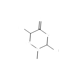 CN1NC(O)C(=O)NC1S